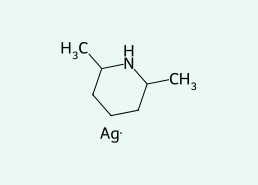 CC1CCCC(C)N1.[Ag]